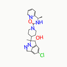 C[C@@H](NC(=O)N1CCC(C2(C)[C@H](O)c3cc(Cl)cc4cnn2c34)CC1)c1ccccn1